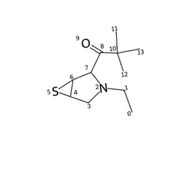 CCN1CC2SC2C1C(=O)C(C)(C)C